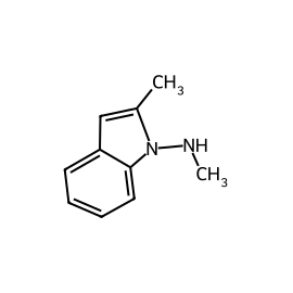 CNn1c(C)cc2ccccc21